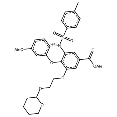 COC(=O)c1cc(OCCOC2CCCCO2)c(Oc2cccc(OC)c2)c(N(S)S(=O)(=O)c2ccc(C)cc2)c1